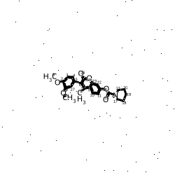 COc1ccc(-c2c(C)c3ccc(OC(=O)N4CCCCC4)cc3oc2=O)cc1OC